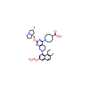 CCc1c(F)ccc2cc(OCOC)cc(N3CCc4c(nc(OC[C@@]56CCCN5C[C@H](F)C6)nc4N4CCCC(C(=O)O)CCC4)C3)c12